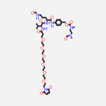 CC(C)C(NC(=O)CCOCCOCCOCCOCCOCCOCCN1C(=O)C=CC1=O)C(=O)NC(CCCNC=O)C(=O)Nc1ccc(COC(=O)N(C)CCN(C)C=O)cc1